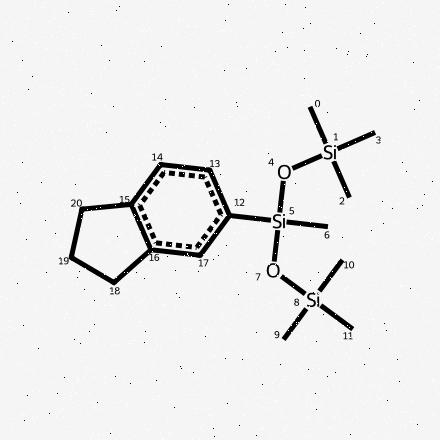 C[Si](C)(C)O[Si](C)(O[Si](C)(C)C)c1ccc2c(c1)CCC2